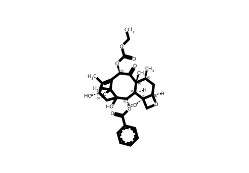 CC(=O)O[C@@]12CO[C@@H]1C[C@H](C)[C@@]1(C)C(=O)[C@H](OC(=O)OCC(Cl)(Cl)Cl)C3=C(C)[C@@H](O)CC(O)([C@@H](OC(=O)c4ccccc4)[C@H]21)C3(C)C